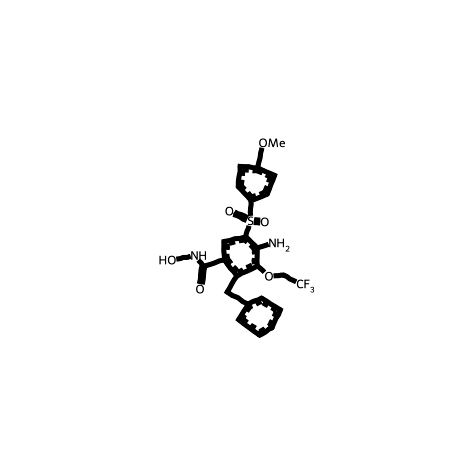 COc1ccc(S(=O)(=O)c2cc(C(=O)NO)c(Cc3ccccc3)c(OCC(F)(F)F)c2N)cc1